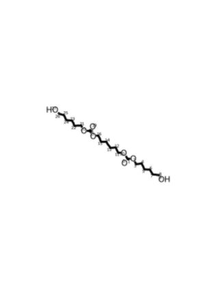 O=C(OCCCCCCO)OCCCCCCOC(=O)OCCCCCCO